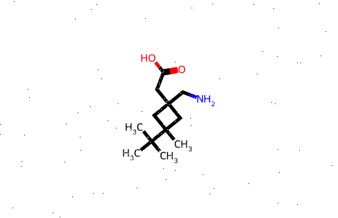 CC(C)(C)C1(C)CC(CN)(CC(=O)O)C1